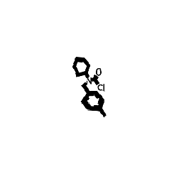 Cc1ccc(CN(C(=O)Cl)C2CC=CCC2)cc1